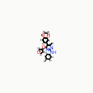 Cc1nc(N[C@H]2CC[C@H](C)CC2)nc(O[C@@H]2CCOC2)c1-c1ccc2c(c1)OCCO2